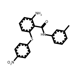 Cc1cccc(NC(=O)c2c(N)cccc2Sc2ccc([N+](=O)[O-])cc2)c1